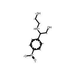 O=[N+]([O-])c1ccc(C(CO)NCCS)cc1